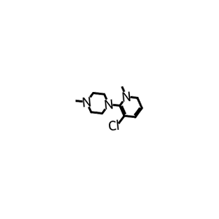 CN1CCN(C2=C(Cl)C=CCN2C)CC1